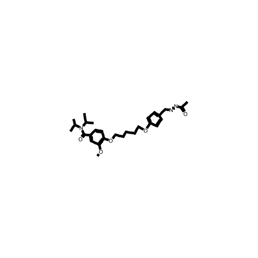 COc1cc(C(=O)N(C(C)C)C(C)C)ccc1OCCCCCOc1ccc(CN=NC(C)=O)cc1